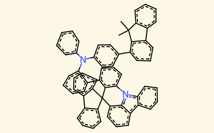 CC1(C)c2ccccc2-c2cccc(-c3ccc(N(c4ccccc4)c4ccccc4-c4cccc5c4C4(c6ccccc6-c6ccccc64)c4cccc6c7ccccc7n-5c46)cc3)c21